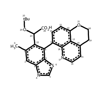 Cc1cc2ncsc2c(-c2ccc3c4c(ccnc24)CCO3)c1C(OC(C)(C)C)C(=O)O